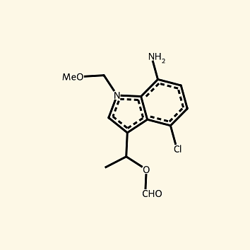 COCn1cc(C(C)OC=O)c2c(Cl)ccc(N)c21